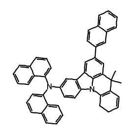 CC1(C)C2=C(CCC=C2)n2c3ccc(N(c4cccc5ccccc45)c4cccc5ccccc45)cc3c3cc(-c4ccc5ccccc5c4)cc1c32